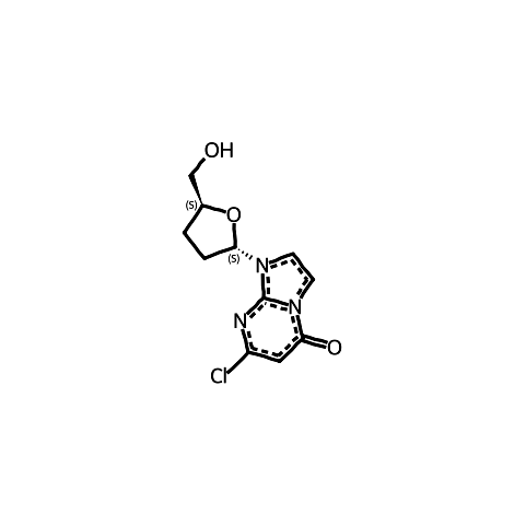 O=c1cc(Cl)nc2n([C@@H]3CC[C@@H](CO)O3)ccn12